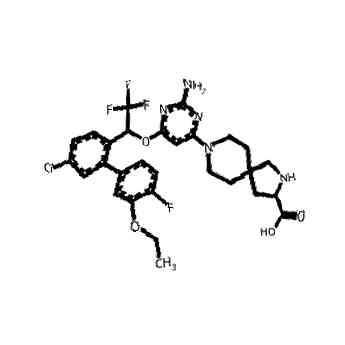 CCOc1cc(-c2cc(Cl)ccc2C(Oc2cc(N3CCC4(CC3)CNC(C(=O)O)C4)nc(N)n2)C(F)(F)F)ccc1F